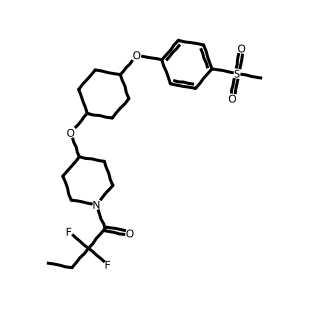 CCC(F)(F)C(=O)N1CCC(OC2CCC(Oc3ccc(S(C)(=O)=O)cc3)CC2)CC1